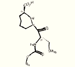 COC[C@H](NC(=O)OC(C)(C)C)C(=O)N1CCC[C@@H](C(=O)O)N1